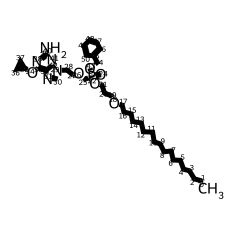 CCCCCCCCCCCCCCCCCCOCCCOP(=O)(COCCn1cnc2c(OC3CC3)nc(N)nc21)OCc1ccccc1